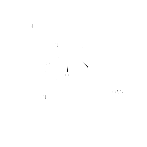 COc1ccc([C@@H]2Sc3ccccc3N(CCN(C)C)C(=O)[C@@H]2OC(=O)c2ccc3ccccc3n2)cc1